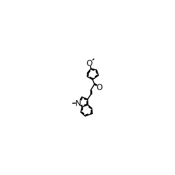 COc1ccc(C(=O)C=Cc2cn(C)c3ccccc23)cc1